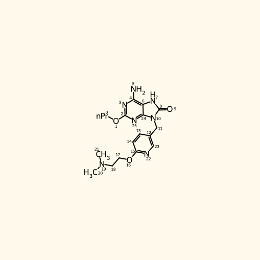 CCCOc1nc(N)c2[nH]c(=O)n(Cc3ccc(OCCN(C)C)nc3)c2n1